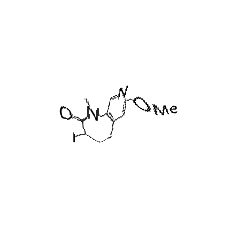 COc1cc2c(cn1)N(C)C(=O)C(I)CC2